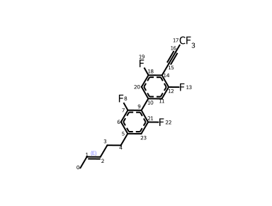 C/C=C/CCc1cc(F)c(-c2cc(F)c(C#CC(F)(F)F)c(F)c2)c(F)c1